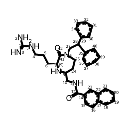 N=C(N)NCCC[C@@H]1NC(CNC(=O)c2ccc3ccccc3c2)CCN(CC(c2ccccc2)c2ccccc2)C1=O